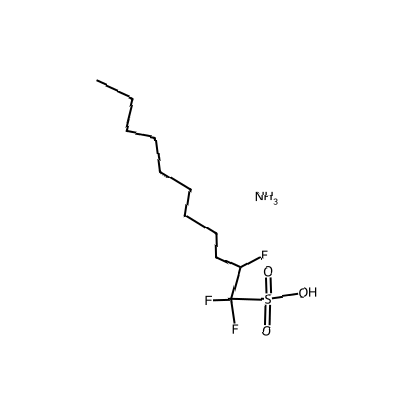 CCCCCCCCCC(F)C(F)(F)S(=O)(=O)O.N